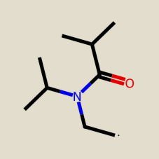 [CH2]CN(C(=O)C(C)C)C(C)C